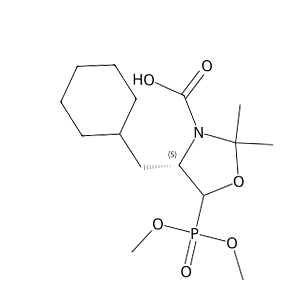 COP(=O)(OC)C1OC(C)(C)N(C(=O)O)[C@H]1CC1CCCCC1